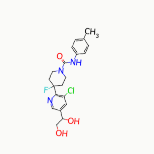 Cc1ccc(NC(=O)N2CCC(F)(c3ncc(C(O)CO)cc3Cl)CC2)cc1